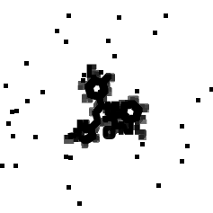 Cc1cc(C(CCc2ccn(C)n2)NC(C)(C(N)=O)c2ccccc2)ccc1F